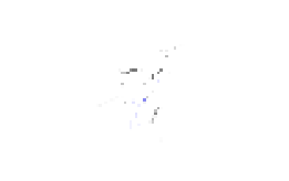 Cc1cc(C(/C=C\C(C)C)=C/C(C)C)n[nH]1